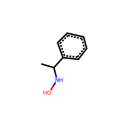 CC(NO)c1ccccc1